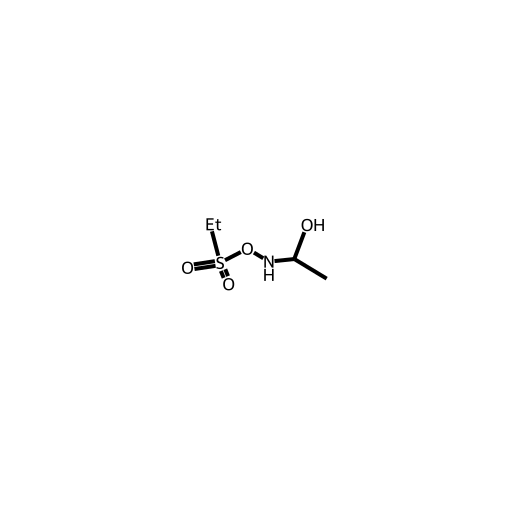 CCS(=O)(=O)ONC(C)O